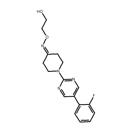 OCCON=C1CCN(c2ncc(-c3ccccc3F)cn2)CC1